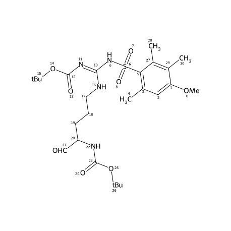 COc1cc(C)c(S(=O)(=O)N/C(=N/C(=O)OC(C)(C)C)NCCCC(C=O)NC(=O)OC(C)(C)C)c(C)c1C